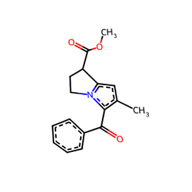 COC(=O)C1CCn2c1cc(C)c2C(=O)c1ccccc1